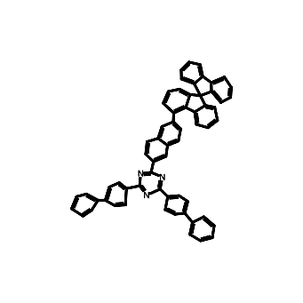 c1ccc(-c2ccc(-c3nc(-c4ccc(-c5ccccc5)cc4)nc(-c4ccc5cc(-c6cccc7c6-c6ccccc6C76c7ccccc7-c7ccccc76)ccc5c4)n3)cc2)cc1